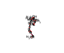 COc1cc(/C=C/c2ccc3cc(OCCOCCOCCOCC(=O)N[C@H](C(=O)N4C[C@H](O)C[C@H]4C(=O)N[C@@H](C)c4ccc(-c5scnc5C)cc4)C(C)(C)C)ccc3n2)ccn1